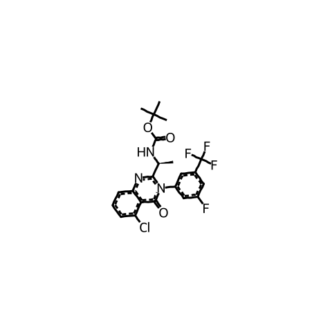 C[C@H](NC(=O)OC(C)(C)C)c1nc2cccc(Cl)c2c(=O)n1-c1cc(F)cc(C(F)(F)F)c1